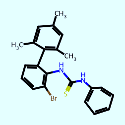 Cc1cc(C)c(-c2cccc(Br)c2NC(=S)Nc2ccccc2)c(C)c1